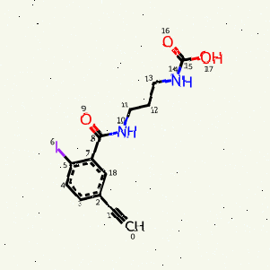 C#Cc1ccc(I)c(C(=O)NCCCNC(=O)O)c1